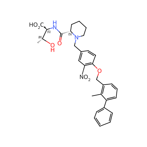 Cc1c(COc2ccc(CN3CCCC[C@H]3C(=O)N[C@H](C(=O)O)[C@@H](C)O)cc2[N+](=O)[O-])cccc1-c1ccccc1